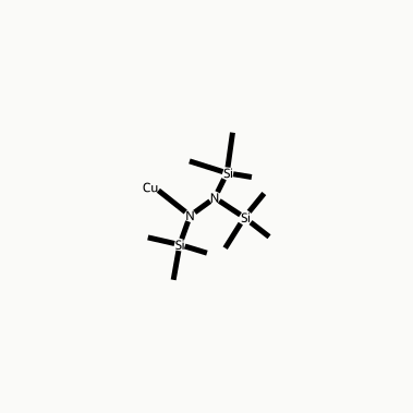 C[Si](C)(C)[N]([Cu])N([Si](C)(C)C)[Si](C)(C)C